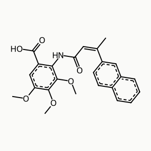 COc1cc(C(=O)O)c(NC(=O)/C=C(/C)c2ccc3ccccc3c2)c(OC)c1OC